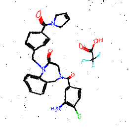 Nc1cc(C(=O)N2CC(=O)N(Cc3ccc(C(=O)N4CC=CC4)cc3)c3ccccc3C2)ccc1Cl.O=C(O)C(F)(F)F